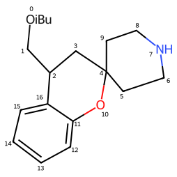 CC(C)COCC1CC2(CCNCC2)Oc2ccccc21